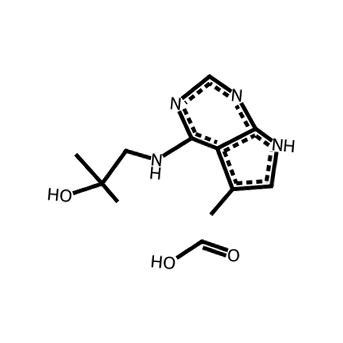 Cc1c[nH]c2ncnc(NCC(C)(C)O)c12.O=CO